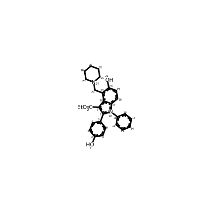 CCOC(=O)c1c(-c2ccc(O)cc2)n(-c2ccccc2)c2ccc(O)c(CN3CCCCC3)c12